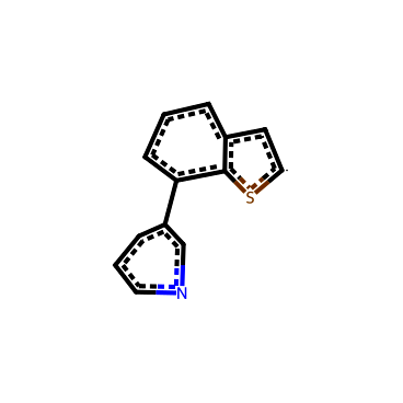 [c]1cc2cccc(-c3cccnc3)c2s1